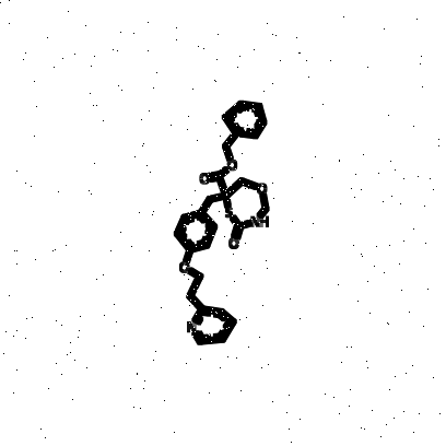 O=C1NCOCC(Cc2ccc(OCCc3ccccn3)cc2)(C(=O)OCc2ccccc2)S1